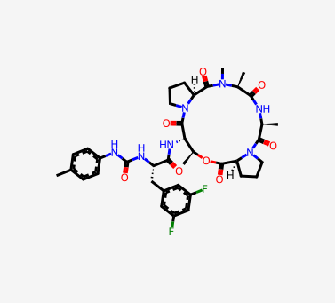 Cc1ccc(NC(=O)N[C@@H](Cc2cc(F)cc(F)c2)C(=O)N[C@@H]2C(=O)N3CCC[C@H]3C(=O)N(C)[C@@H](C)C(=O)N[C@@H](C)C(=O)N3CCC[C@H]3C(=O)O[C@H]2C)cc1